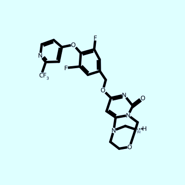 O=c1nc(OCc2cc(F)c(Oc3ccnc(C(F)(F)F)c3)c(F)c2)cc2n1C[C@@H]1CN2CCO1